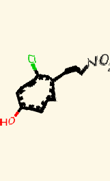 O=[N+]([O-])/C=C/c1ccc(O)cc1Cl